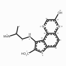 CNC(C)CNc1c(C(=O)O)sc2ccc3nc(O)cnc3c12